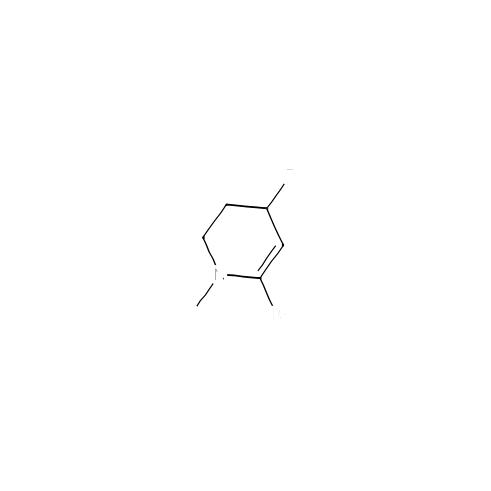 CN1CCC(F)C=C1Br